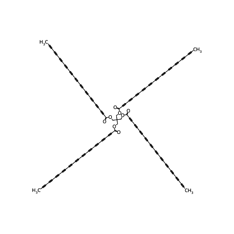 CC#CC#CC#CC#CC#CC#CC#CC#CC#CC#CC#CC(=O)OCC(COC(=O)C#CC#CC#CC#CC#CC#CC#CC#CC#CC#CC#CC)(COC(=O)C#CC#CC#CC#CC#CC#CC#CC#CC#CC#CC#CC)COC(=O)C#CC#CC#CC#CC#CC#CC#CC#CC#CC#CC#CC